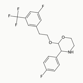 Fc1ccc(C2NCCOC2OCCc2cc(F)cc(C(F)(F)F)c2)cc1